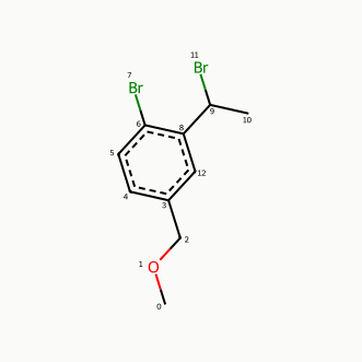 COCc1ccc(Br)c(C(C)Br)c1